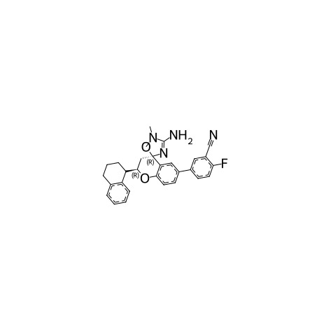 CN1O[C@@]2(C[C@H](C3CCCc4ccccc43)Oc3ccc(-c4ccc(F)c(C#N)c4)cc32)N=C1N